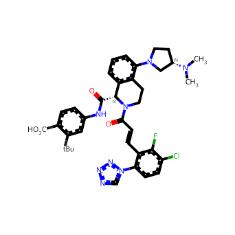 CN(C)[C@H]1CCN(c2cccc3c2CCN(C(=O)/C=C/c2c(-n4cnnn4)ccc(Cl)c2F)[C@@H]3C(=O)Nc2ccc(C(=O)O)c(C(C)(C)C)c2)C1